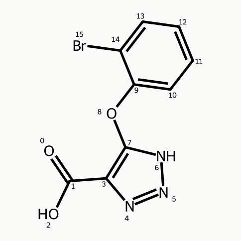 O=C(O)c1nn[nH]c1Oc1ccccc1Br